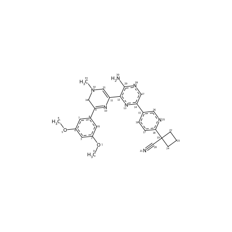 COc1cc(OC)cc(C2=NC(c3nc(-c4ccc(C5(C#N)CCC5)nc4)cnc3N)=CN(C)C2)c1